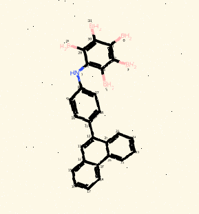 Bc1c(B)c(B)c(Nc2ccc(-c3cc4ccccc4c4ccccc34)cc2)c(B)c1B